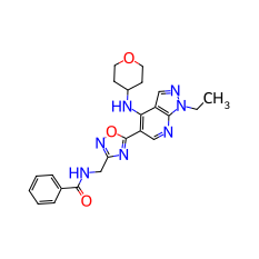 CCn1ncc2c(NC3CCOCC3)c(-c3nc(CNC(=O)c4ccccc4)no3)cnc21